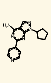 Nc1nc(-c2ccncc2)nc2c1cnn2C1CCCC1